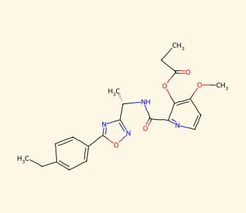 CCC(=O)Oc1c(OC)ccnc1C(=O)N[C@@H](C)c1noc(-c2ccc(CC)cc2)n1